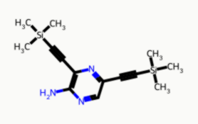 C[Si](C)(C)C#Cc1cnc(N)c(C#C[Si](C)(C)C)n1